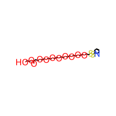 O=C(CCOCCOCCOCCOCCOCCOCCOCCOCCSSc1ccccn1)OCCO